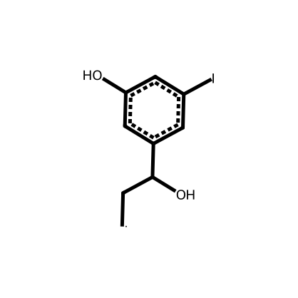 [CH2]CC(O)c1cc(O)cc(I)c1